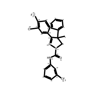 CC1(c2ccccc2)CN(C(=O)Nc2cccc(C(F)(F)F)c2)N=C1c1ccc(C(F)(F)F)c(Cl)c1